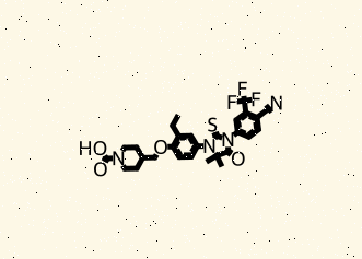 CCc1cc(N2C(=S)N(c3ccc(C#N)c(C(F)(F)F)c3)C(=O)C2(C)C)ccc1OCC1CCN(C(=O)O)CC1